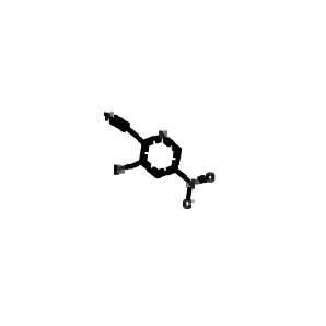 N#Cc1ncc([N+](=O)[O-])cc1Br